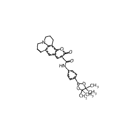 CC1(C)OB(c2ccc(NC(=O)c3cc4cc5c6c(c4oc3=O)CCCN6CCC5)cc2)OC1(C)C